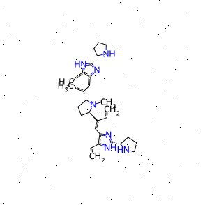 C=C/C(=C\c1nc([C@@H]2CCCN2)[nH]c1C=C)[C@H]1CC[C@H](C(=C/C)/C=c2/nc([C@@H]3CCCN3)[nH]/c2=C/C)N1C